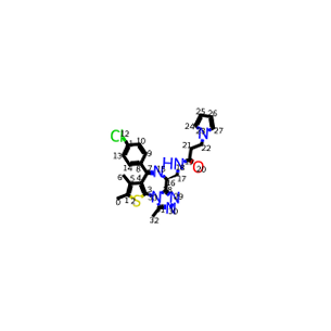 Cc1sc2c(c1C)C(c1ccc(Cl)cc1)=N[C@@H](CNC(=O)CCn1cccc1)c1nnc(C)n1-2